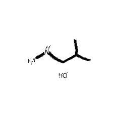 CC(C)CNN.Cl